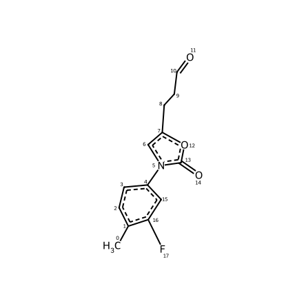 Cc1ccc(-n2cc(CCC=O)oc2=O)cc1F